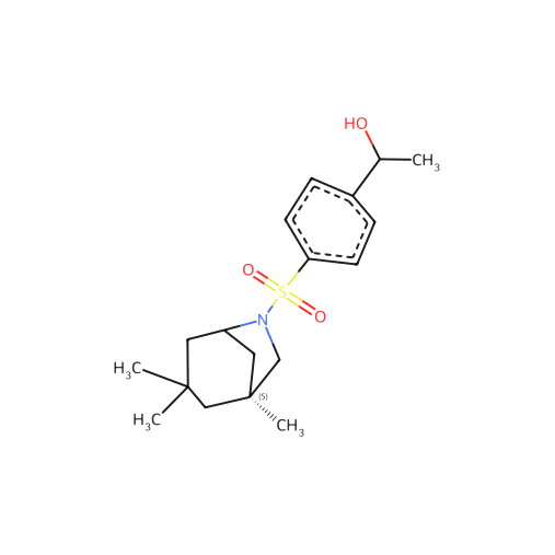 CC(O)c1ccc(S(=O)(=O)N2C[C@]3(C)CC2CC(C)(C)C3)cc1